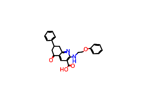 O=C1CC(c2ccccc2)Cc2nc(NCCOc3ccccc3)c(C(=O)O)cc21